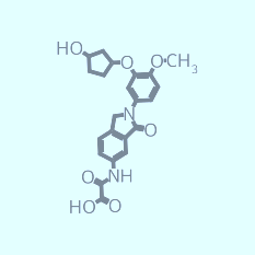 COc1ccc(N2Cc3ccc(NC(=O)C(=O)O)cc3C2=O)cc1OC1CCC(O)C1